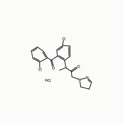 CN(C(=O)CN1CCC=N1)c1ccc(Cl)cc1C(=O)c1ccccc1Cl.Cl